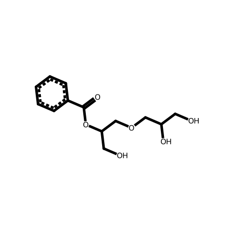 O=C(OC(CO)COCC(O)CO)c1ccccc1